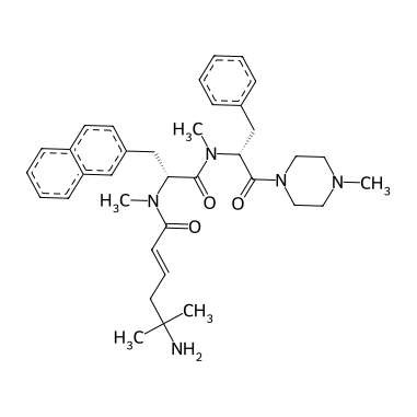 CN1CCN(C(=O)[C@@H](Cc2ccccc2)N(C)C(=O)[C@@H](Cc2ccc3ccccc3c2)N(C)C(=O)C=CCC(C)(C)N)CC1